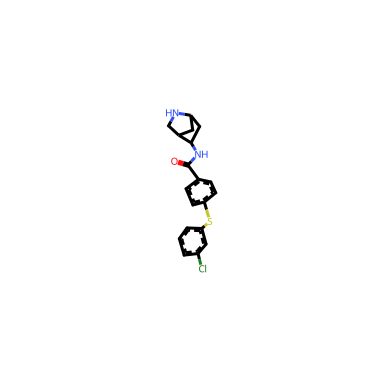 O=C(NC1CC2CC1CN2)c1ccc(Sc2cccc(Cl)c2)cc1